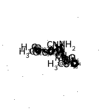 [C-]#[N+]c1c(N)nc(SCc2nc(-c3ccccc3OC)oc2C)c(C#N)c1-c1ccc(OC[C@H]2COC(C)(C)O2)cc1